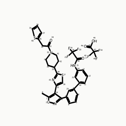 Cc1onc(-c2cccc(-c3cccc(NC(=O)C(F)(F)F)c3)c2)c1-c1csc(C2CCN(C(=O)Cc3cccs3)CC2)n1.O=C(O)C(F)(F)F